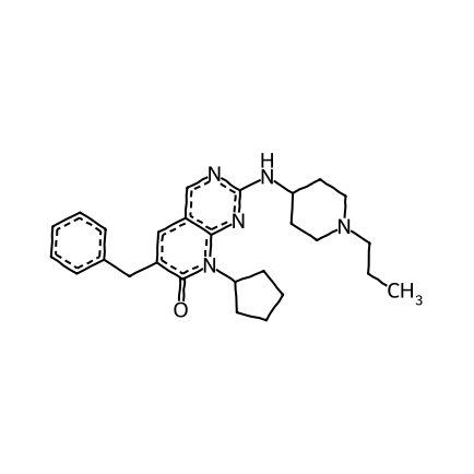 CCCN1CCC(Nc2ncc3cc(Cc4ccccc4)c(=O)n(C4CCCC4)c3n2)CC1